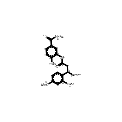 CCCCCC(CC(=O)Nc1cc(C(=O)NC(C)=O)ccc1C(C)(C)C)c1ccc(OC)cc1OC